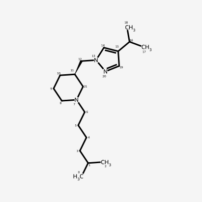 CC(C)CCCCN1CCC[C@@H](Cn2cc(C(C)C)cn2)C1